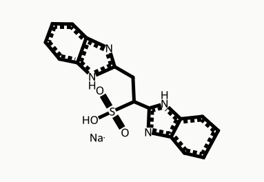 O=S(=O)(O)C(Cc1nc2ccccc2[nH]1)c1nc2ccccc2[nH]1.[Na]